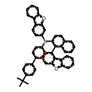 CC(C)(C)c1ccc(-c2ccc(N(c3ccc4c(c3)oc3ccccc34)c3ccc4ccccc4c3-c3cccc4oc5ccccc5c34)cc2)cc1